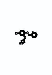 Clc1ccc(OCc2ccccn2)c(OC2CNC2)c1